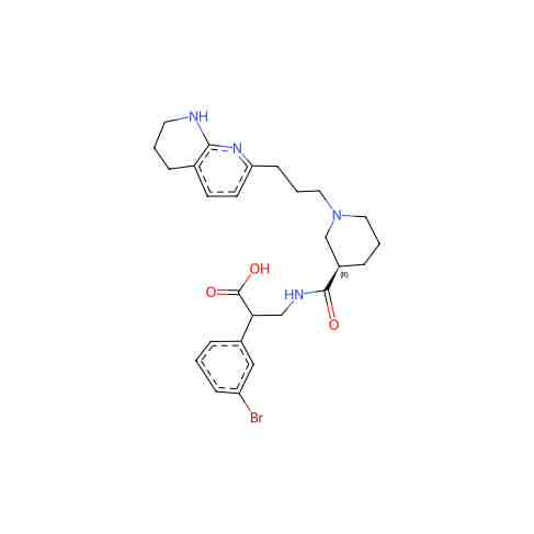 O=C(O)C(CNC(=O)[C@@H]1CCCN(CCCc2ccc3c(n2)NCCC3)C1)c1cccc(Br)c1